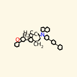 C=C1/C=C\C(N(c2ccc(-c3ccc(-c4ccccc4)cc3)cc2)c2cccc3ccccc23)=C/CC(C)(C)c2cc(-c3ccc4oc5ccccc5c4c3)ccc21